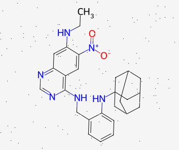 CCNc1cc2ncnc(NCc3ccccc3NC34CC5CC(CC(C5)C3)C4)c2cc1[N+](=O)[O-]